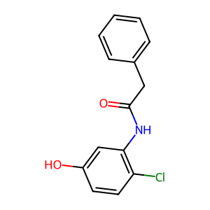 O=C(Cc1ccccc1)Nc1cc(O)ccc1Cl